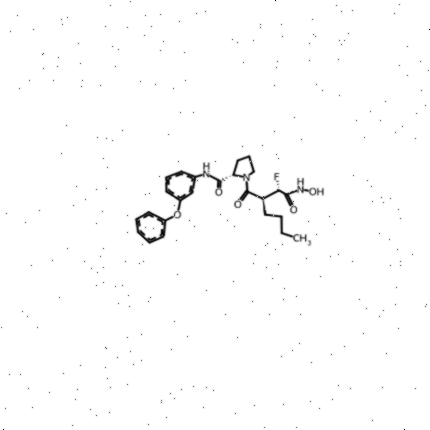 CCCC[C@@H](C(=O)N1CCC[C@H]1C(=O)Nc1cccc(Oc2ccccc2)c1)[C@H](F)C(=O)NO